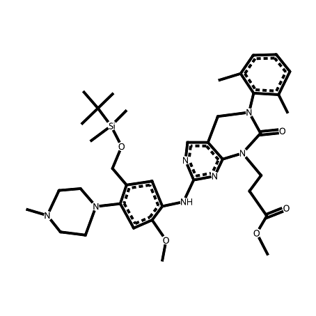 COC(=O)CCN1C(=O)N(c2c(C)cccc2C)Cc2cnc(Nc3cc(CO[Si](C)(C)C(C)(C)C)c(N4CCN(C)CC4)cc3OC)nc21